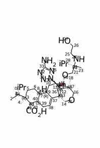 CC(C)[C@@H](C)[C@@]1(C)CC[C@]2(C)[C@H]3CC[C@@H]4[C@@]5(COC[C@]4(C)[C@@H](OC[C@](C)(NCCO)C(C)C)[C@H](n4nnc(N)n4)C5)C3=CC[C@@]2(C)[C@@H]1C(=O)O